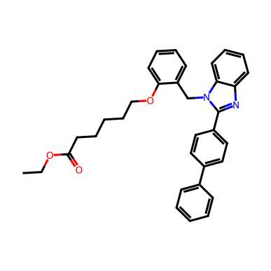 CCOC(=O)CCCCCOc1ccccc1Cn1c(-c2ccc(-c3ccccc3)cc2)nc2ccccc21